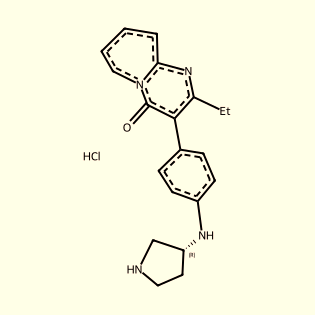 CCc1nc2ccccn2c(=O)c1-c1ccc(N[C@@H]2CCNC2)cc1.Cl